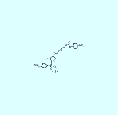 CCCCOc1ccc2c(c1)CCc1cc(OCCOCCOC(=O)Oc3ccc([N+](=O)[O-])cc3)ccc1C1=C2C12OCC(C)(C)CO2